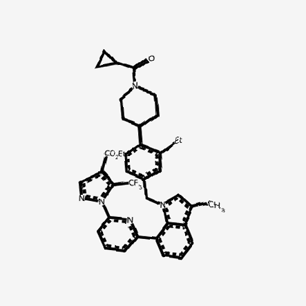 CCOC(=O)c1cnn(-c2cccc(-c3cccc4c(C)cn(Cc5ccc(C6CCN(C(=O)C7CC7)CC6)c(CC)c5)c34)n2)c1C(F)(F)F